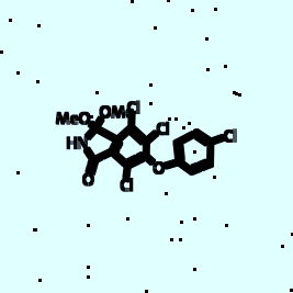 COC1(OC)NC(=O)c2c(Cl)c(Oc3ccc(Cl)cc3)c(Cl)c(Cl)c21